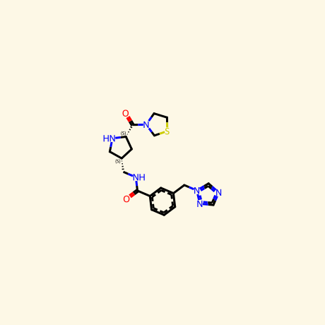 O=C(NC[C@@H]1CN[C@H](C(=O)N2CCSC2)C1)c1cccc(Cn2cncn2)c1